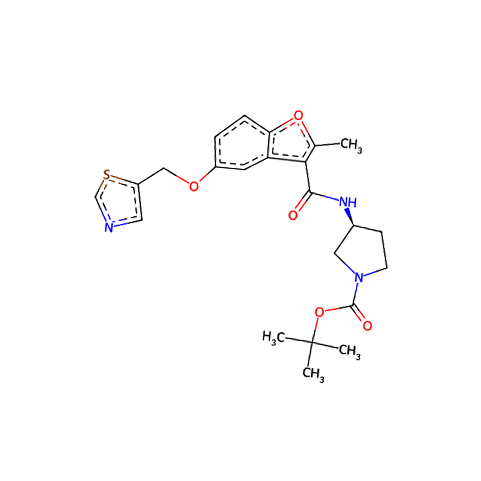 Cc1oc2ccc(OCc3cncs3)cc2c1C(=O)N[C@H]1CCN(C(=O)OC(C)(C)C)C1